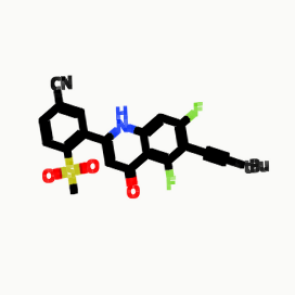 CC(C)(C)C#Cc1c(F)cc2[nH]c(-c3cc(C#N)ccc3S(C)(=O)=O)cc(=O)c2c1F